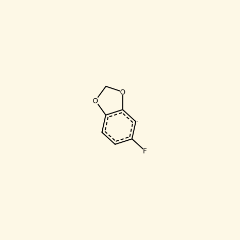 Fc1[c]c2c(cc1)OCO2